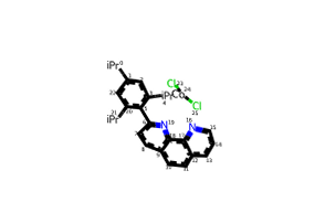 CC(C)c1cc(C(C)C)c(-c2ccc3ccc4cccnc4c3n2)c(C(C)C)c1.[Cl][Co][Cl]